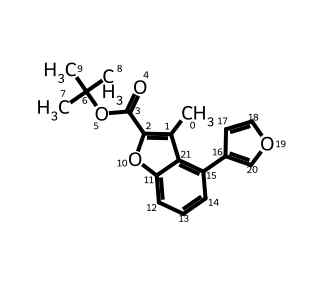 Cc1c(C(=O)OC(C)(C)C)oc2cccc(-c3ccoc3)c12